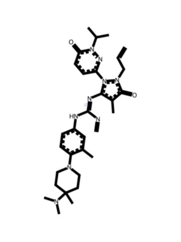 C=CCn1c(=O)c(C)c(/N=C(\N=C)Nc2ccc(N3CCC(C)(N(C)C)CC3)c(C)c2)n1-c1ccc(=O)n(C(C)C)n1